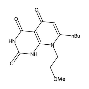 CCCCc1cc(=O)c2c(=O)[nH]c(=O)[nH]c2n1CCOC